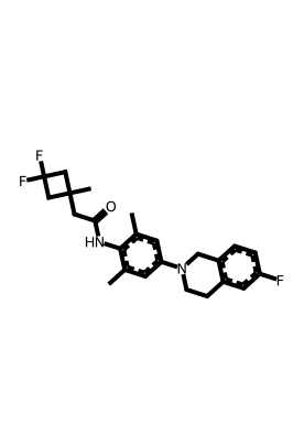 Cc1cc(N2CCc3cc(F)ccc3C2)cc(C)c1NC(=O)CC1(C)CC(F)(F)C1